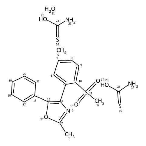 C.Cc1nc(-c2ccccc2S(C)(=O)=O)c(-c2ccccc2)o1.NC(O)=S.NC(O)=S.O